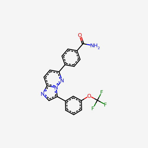 NC(=O)c1ccc(-c2ccc3ncc(-c4cccc(OC(F)(F)F)c4)n3n2)cc1